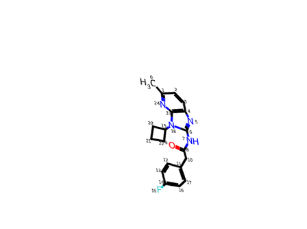 Cc1ccc2nc(NC(=O)Cc3ccc(F)cc3)n(C3CCC3)c2n1